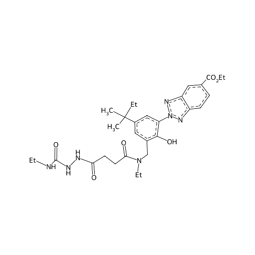 CCNC(=O)NNC(=O)CCC(=O)N(CC)Cc1cc(C(C)(C)CC)cc(-n2nc3ccc(C(=O)OCC)cc3n2)c1O